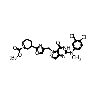 CN(c1ccc(Cl)c(Cl)c1)c1nc2cnn(Cc3coc(C4CCCN(C(=O)OC(C)(C)C)C4)n3)c2c(=O)[nH]1